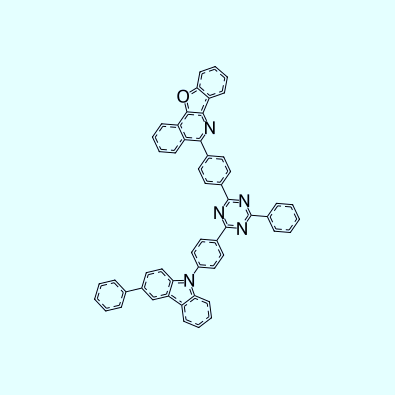 c1ccc(-c2ccc3c(c2)c2ccccc2n3-c2ccc(-c3nc(-c4ccccc4)nc(-c4ccc(-c5nc6c7ccccc7oc6c6ccccc56)cc4)n3)cc2)cc1